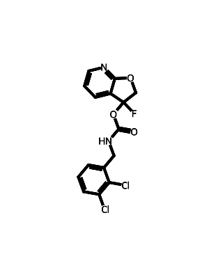 O=C(NCc1cccc(Cl)c1Cl)OC1(F)COc2ncccc21